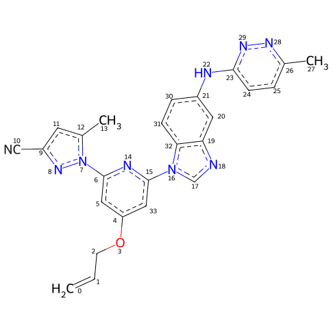 C=CCOc1cc(-n2nc(C#N)cc2C)nc(-n2cnc3cc(Nc4ccc(C)nn4)ccc32)c1